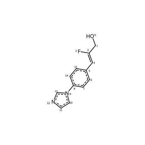 OC/C(F)=C/c1ccc(-n2ccnc2)cc1